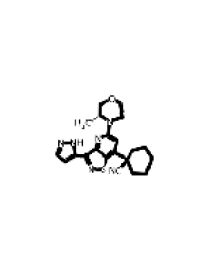 C[C@@H]1COCCN1c1cc(C2(C#N)CCCCC2)c2snc(-c3ccn[nH]3)c2n1